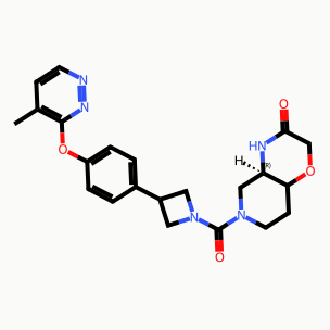 Cc1ccnnc1Oc1ccc(C2CN(C(=O)N3CCC4OCC(=O)N[C@@H]4C3)C2)cc1